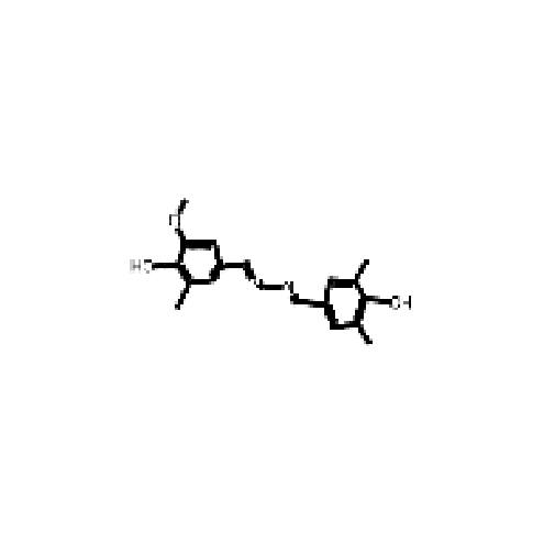 COc1cc(C=NN=Cc2cc(C)c(O)c(C)c2)cc(C)c1O